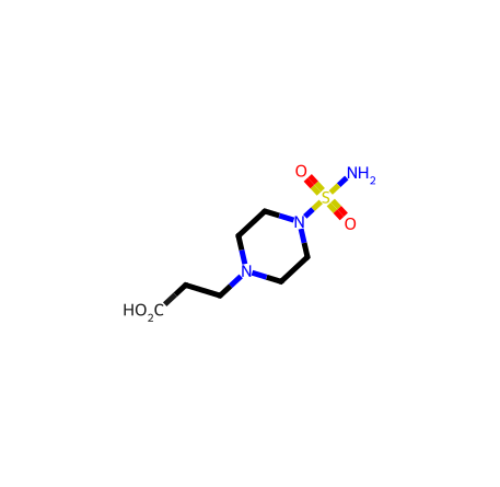 NS(=O)(=O)N1CCN(CCC(=O)O)CC1